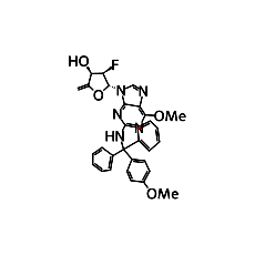 C=C1O[C@@H](n2cnc3c(OC)nc(NC(c4ccccc4)(c4ccccc4)c4ccc(OC)cc4)nc32)[C@H](F)[C@@H]1O